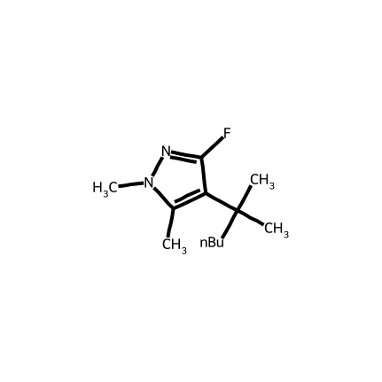 CCCCC(C)(C)c1c(F)nn(C)c1C